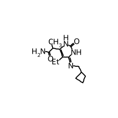 CCc1c(C(C)C(N)=O)[nH]c(=O)[nH]/c1=N\CC1CCC1